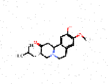 COc1cc2c(cc1O)C1CC(=O)[C@@H](CC(C)C)CN1CC2